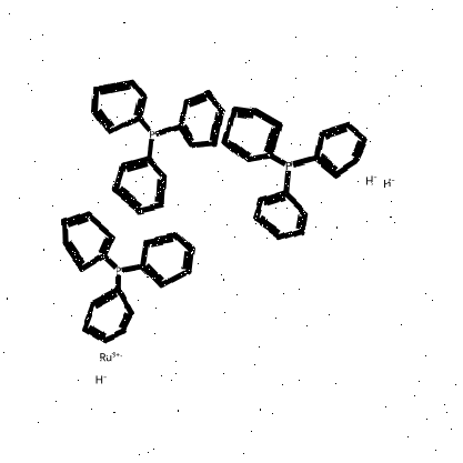 [H-].[H-].[H-].[Ru+3].c1ccc(P(c2ccccc2)c2ccccc2)cc1.c1ccc(P(c2ccccc2)c2ccccc2)cc1.c1ccc(P(c2ccccc2)c2ccccc2)cc1